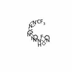 Fc1cccnc1C1(CNc2ccc(-c3ncc(CN4CCN(CC(F)(F)F)CC4)s3)nn2)CCC1